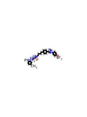 Cc1ccc(C(C)C)c(NC(=S)NC(=O)NCCCCc2ccc(-c3ncn(-c4ccc(OC(F)(F)F)cc4)n3)cc2)c1